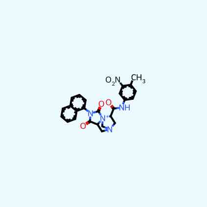 Cc1ccc(NC(=O)C2CN3CC4C(=O)N(c5cccc6ccccc56)C(=O)[N+]24C3)cc1[N+](=O)[O-]